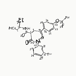 CCC(CO)NC(=O)c1cc(-c2ccc(OC(F)F)cc2)nn(-c2cccc(F)c2)c1=O